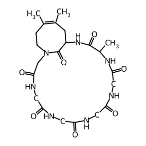 CC1=C(C)CC2NC(=O)C(C)NC(=O)CNC(=O)CNC(=O)CNC(=O)CNC(=O)CN(CC1)C2=O